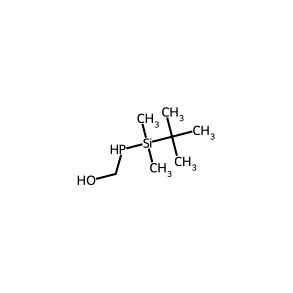 CC(C)(C)[Si](C)(C)PCO